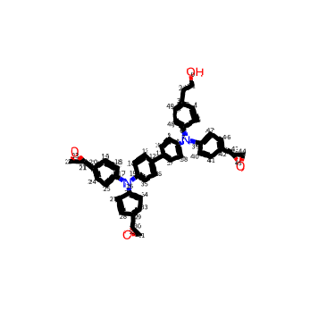 OCCc1ccc(N(c2ccc(-c3ccc(N(c4ccc(C5CO5)cc4)c4ccc(C5CO5)cc4)cc3)cc2)c2ccc(C3CO3)cc2)cc1